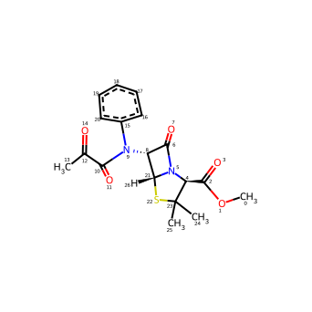 COC(=O)[C@@H]1N2C(=O)[C@@H](N(C(=O)C(C)=O)c3ccccc3)[C@H]2SC1(C)C